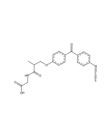 CC(COc1ccc(C(=O)c2ccc(N=C=S)cc2)cc1)C(=O)NCC(=O)O